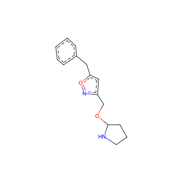 c1ccc(Cc2cc(COC3CCCN3)no2)cc1